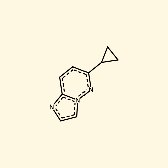 c1cn2nc(C3CC3)ccc2n1